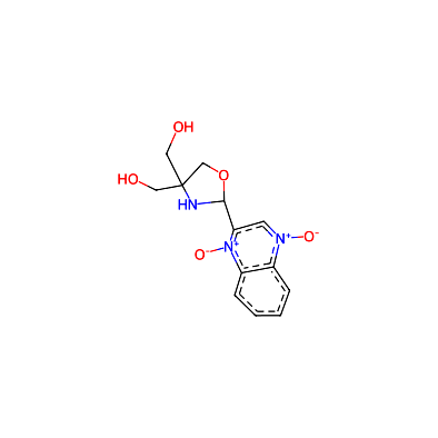 [O-][n+]1cc(C2NC(CO)(CO)CO2)[n+]([O-])c2ccccc21